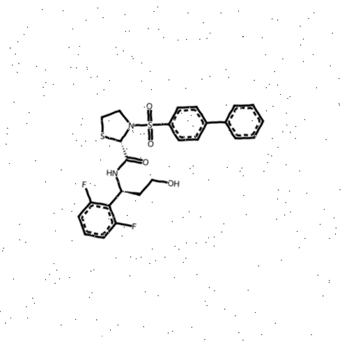 O=C(N[C@@H](CCO)c1c(F)cccc1F)[C@@H]1SCCN1S(=O)(=O)c1ccc(-c2ccccc2)cc1